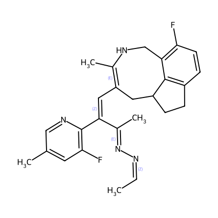 C\C=N/N=C(C)/C(=C\C1=C(/C)NCc2c(F)ccc3c2C(CC3)C1)c1ncc(C)cc1F